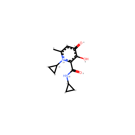 Cc1cc(=O)c(O)c(C(=O)NC2CC2)n1C1CC1